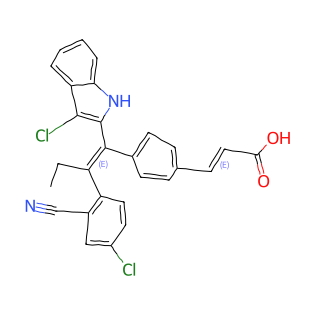 CC/C(=C(/c1ccc(/C=C/C(=O)O)cc1)c1[nH]c2ccccc2c1Cl)c1ccc(Cl)cc1C#N